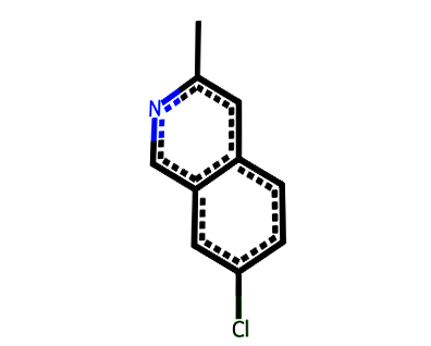 Cc1cc2ccc(Cl)cc2cn1